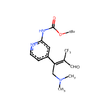 CN(C)CC(=C(C=O)C(F)(F)F)c1ccnc(NC(=O)OC(C)(C)C)c1